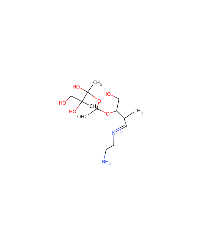 CC(/C=N/CCN)C(CO)OC(C=O)OC(C)(O)C(C)(O)CO